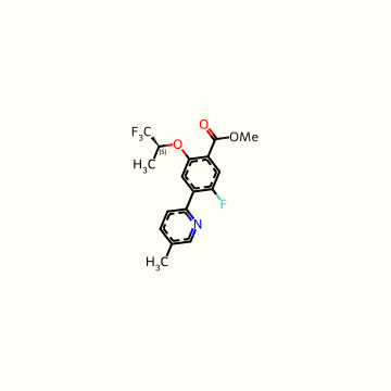 COC(=O)c1cc(F)c(-c2ccc(C)cn2)cc1O[C@@H](C)C(F)(F)F